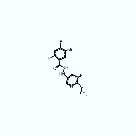 COc1ncc(NNC(=O)c2cc(Br)c(F)cc2F)cc1F